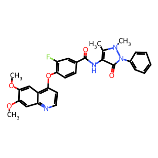 COc1cc2nccc(Oc3ccc(C(=O)Nc4c(C)n(C)n(-c5ccccc5)c4=O)cc3F)c2cc1OC